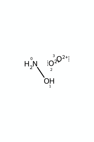 NO.[O+2].[O+2]